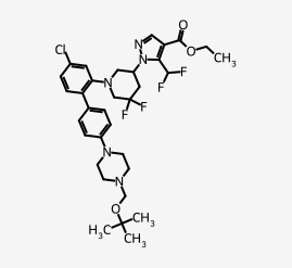 CCOC(=O)c1cnn(C2CN(c3cc(Cl)ccc3-c3ccc(N4CCN(COC(C)(C)C)CC4)cc3)CC(F)(F)C2)c1C(F)F